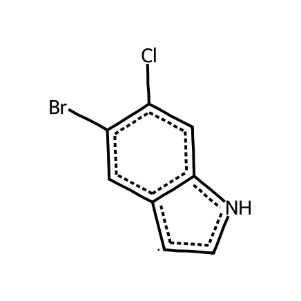 Clc1cc2[nH]c[c]c2cc1Br